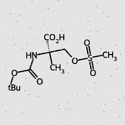 CC(C)(C)OC(=O)N[C@](C)(COS(C)(=O)=O)C(=O)O